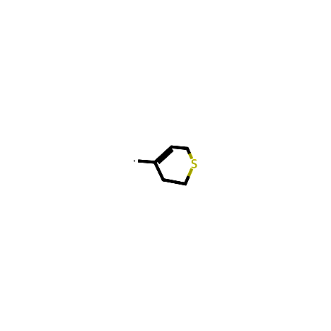 [CH2]C1=CCSCC1